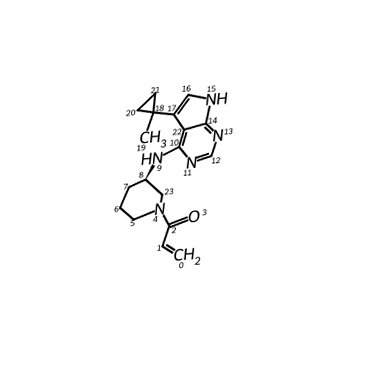 C=CC(=O)N1CCC[C@@H](Nc2ncnc3[nH]cc(C4(C)CC4)c23)C1